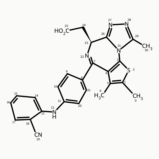 Cc1sc2c(c1C)C(c1ccc(Nc3ccccc3C#N)cc1)=N[C@@H](CC(=O)O)c1nnc(C)n1-2